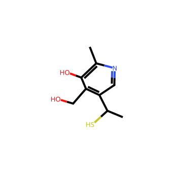 Cc1ncc(C(C)S)c(CO)c1O